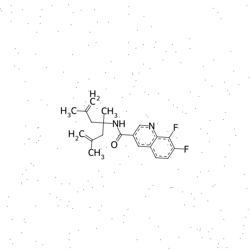 C=C(C)CC(C)(CC(=C)C)NC(=O)c1cnc2c(F)c(F)ccc2c1